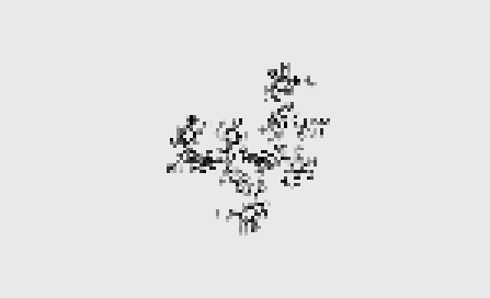 COP(=O)(S)OCC1O[C@@H](n2cnc3c(=O)[nH]c(N)nc32)C[C@H]1OP(=O)(S)OCC1O[C@@H](n2cc(C)c(=O)[nH]c2=O)C[C@H]1OP(=S)(S)OCC1O[C@@H](n2cnc3c(=O)[nH]c(N)nc32)C[C@H]1OP(=O)(S)OCC1O[C@@H](n2cc(C)c(=O)[nH]c2=O)C[C@H]1OP(=O)(S)OCC1O[C@@H](n2ccc(N)nc2=O)C[C@H]1C(C)C